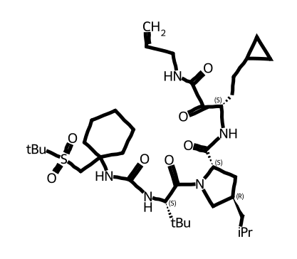 C=CCNC(=O)C(=O)[C@H](CCC1CC1)NC(=O)[C@@H]1C[C@@H](CC(C)C)CN1C(=O)[C@@H](NC(=O)NC1(CS(=O)(=O)C(C)(C)C)CCCCC1)C(C)(C)C